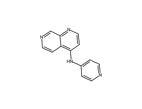 c1cc(Nc2ccnc3cnccc23)ccn1